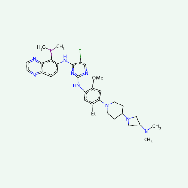 CCc1cc(Nc2ncc(F)c(Nc3ccc4nccnc4c3P(C)C)n2)c(OC)cc1N1CCC(N2CC(N(C)C)C2)CC1